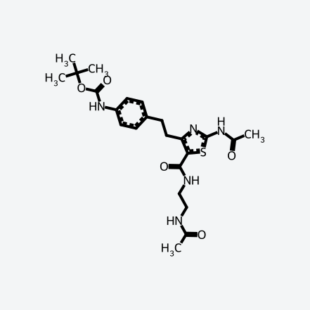 CC(=O)NCCNC(=O)c1sc(NC(C)=O)nc1CCc1ccc(NC(=O)OC(C)(C)C)cc1